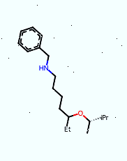 CCC(CCCCNCc1ccccc1)O[C@@H](C)C(C)C